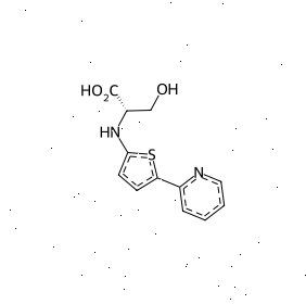 O=C(O)[C@H](CO)Nc1ccc(-c2ccccn2)s1